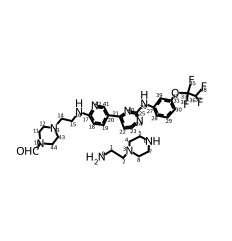 NCCN1CCNCC1.O=CN1CCN(CCNc2ccc(-c3ccnc(Nc4cccc(OC(F)(F)C(F)F)c4)n3)cn2)CC1